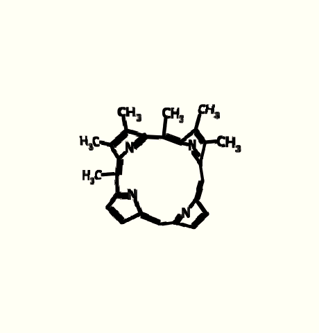 CC1=C(C)C2=C(C)C3=NC(=C(C)C4=NC(=CC5=NC(=CC1=N2)C=C5)C=C4)C(C)=C3C